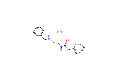 Br.O=C(Cc1ccccc1)NCCNCc1ccccc1